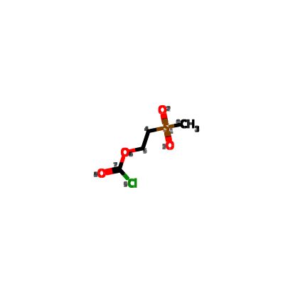 CS(=O)(=O)CCOC(=O)Cl